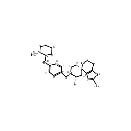 CCc1cc2c(s1)CCO[C@@]21CCN(Cc2cnc(N[C@@H]3CCCC[C@H]3O)nc2)[C@@H](C)C1